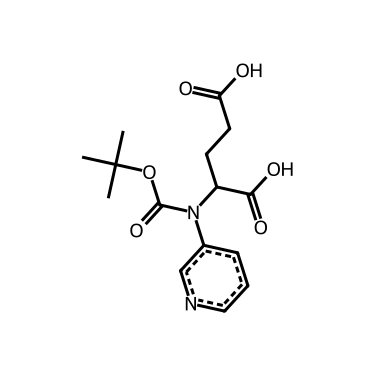 CC(C)(C)OC(=O)N(c1cccnc1)C(CCC(=O)O)C(=O)O